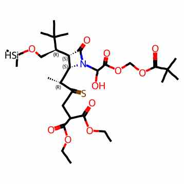 CCOC(=O)C(CC(=S)[C@H](C)[C@@H]1[C@H]([C@@H](CO[SiH](C)C)C(C)(C)C)C(=O)N1C(O)C(=O)OCOC(=O)C(C)(C)C)C(=O)OCC